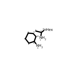 CCCCCCC(C)N.NC1CCCCC1